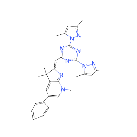 Cc1cc(C)n(-c2nc(/C=C3\N=C4C(=CC(c5ccccc5)=CN4C)C3(C)C)nc(-n3nc(C)cc3C)n2)n1